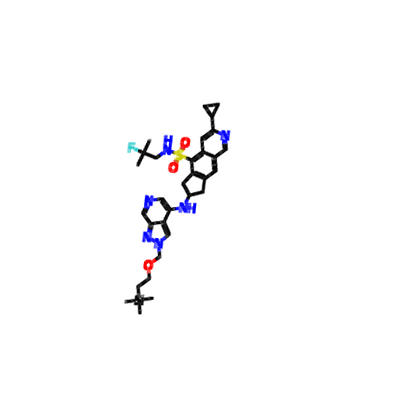 CC(C)(F)CNS(=O)(=O)c1c2c(cc3cnc(C4CC4)cc13)CC(Nc1cncc3nn(COCC[Si](C)(C)C)cc13)C2